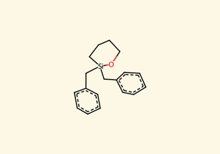 c1ccc(C[Si]2(Cc3ccccc3)CCCCO2)cc1